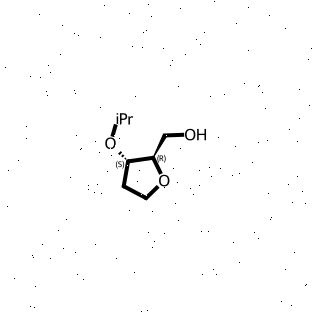 CC(C)O[C@H]1CCO[C@@H]1CO